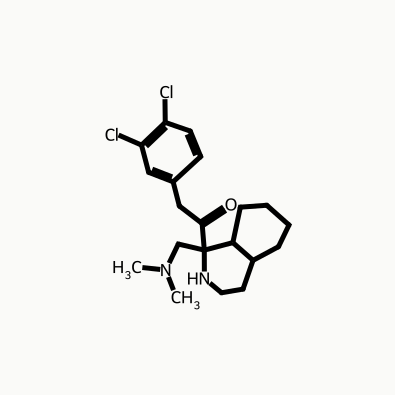 CN(C)CC1(C(=O)Cc2ccc(Cl)c(Cl)c2)NCCC2CCCCC21